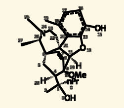 CCC[C@@](C)(O)[C@H]1C[C@@]23C=C[C@]1(OC)[C@@H]1Oc4c(O)ccc(C)c4[C@@]12CCN(C)[C@@H]3C